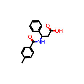 Cc1ccc(C(=O)NC(CC(=O)O)c2ccccc2)cc1